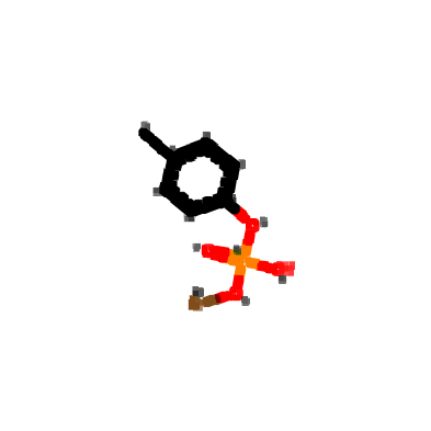 Cc1ccc(OP(=O)(O)OBr)cc1